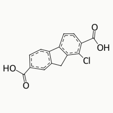 O=C(O)c1ccc2c(c1)Cc1c-2ccc(C(=O)O)c1Cl